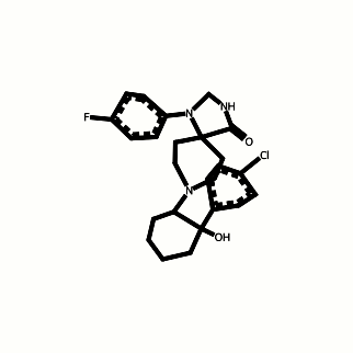 O=C1NCN(c2ccc(F)cc2)C12CCN(C1CCCCC1(O)c1ccc(Cl)cc1)CC2